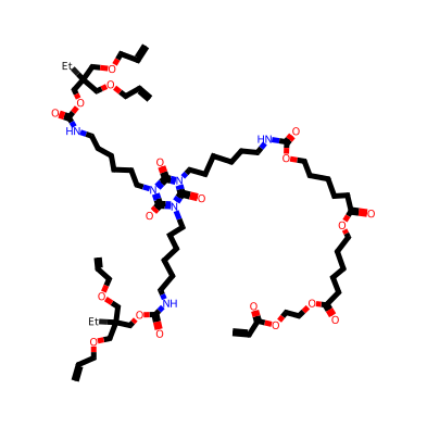 C=CCOCC(CC)(COCC=C)COC(=O)NCCCCCCn1c(=O)n(CCCCCCNC(=O)OCCCCCC(=O)OCCCCCC(=O)OCCOC(=O)C=C)c(=O)n(CCCCCCNC(=O)OCC(CC)(COCC=C)COCC=C)c1=O